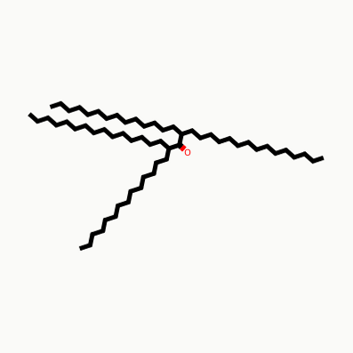 CCCCCCCCCCCCCCCC(CCCCCCCCCCCCCC)C(=O)C(CCCCCCCCCCCCCC)CCCCCCCCCCCCCCC